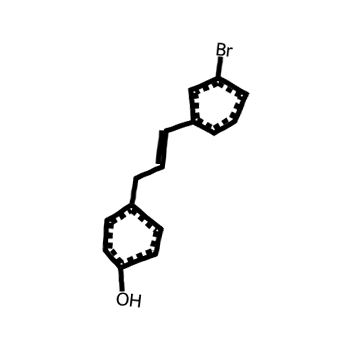 Oc1ccc(CC=Cc2cccc(Br)c2)cc1